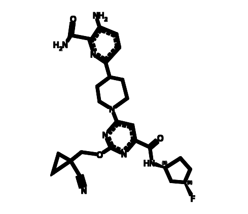 N#CC1(COc2nc(C(=O)N[C@H]3CC[C@@H](F)C3)cc(N3CCC(c4ccc(N)c(C(N)=O)n4)CC3)n2)CC1